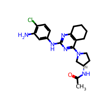 CC(=O)N[C@H]1CCN(c2nc(Nc3ccc(Cl)c(N)c3)nc3c2CCCC3)C1